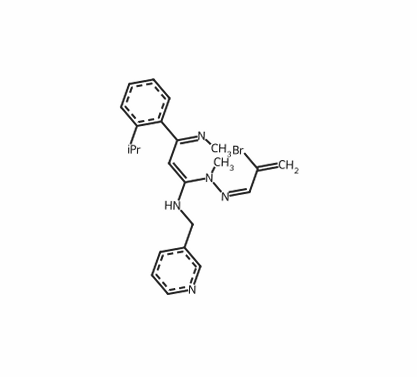 C=C(Br)/C=N\N(C)/C(=C\C(=N/C)c1ccccc1C(C)C)NCc1cccnc1